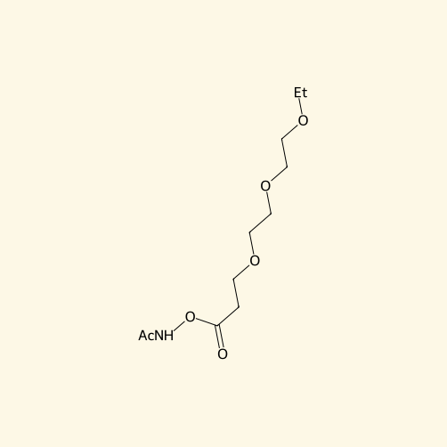 CCOCCOCCOCCC(=O)ONC(C)=O